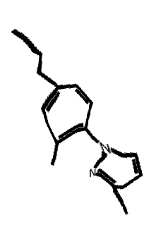 CCCc1ccc(-n2ccc(C)n2)c(C)c1